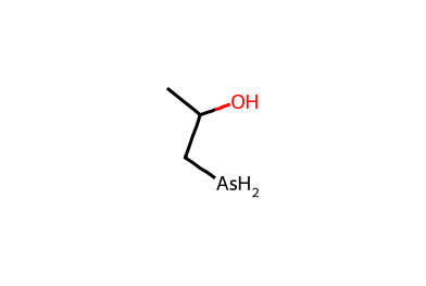 CC(O)C[AsH2]